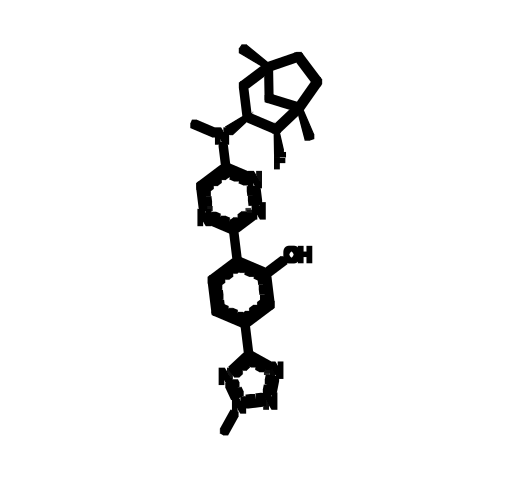 CN(c1cnc(-c2ccc(-c3nnn(C)n3)cc2O)nn1)[C@H]1C[C@]2(C)CC[C@@](C)(C2)[C@H]1F